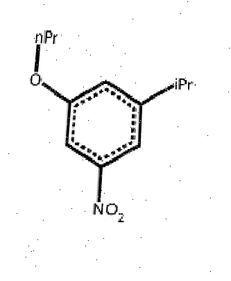 CCCOc1cc([C](C)C)cc([N+](=O)[O-])c1